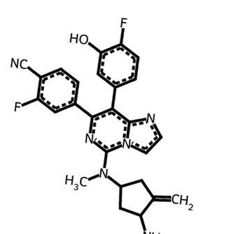 C=C1CC(N(C)c2nc(-c3ccc(C#N)c(F)c3)c(-c3ccc(F)c(O)c3)c3nccn23)CC1N